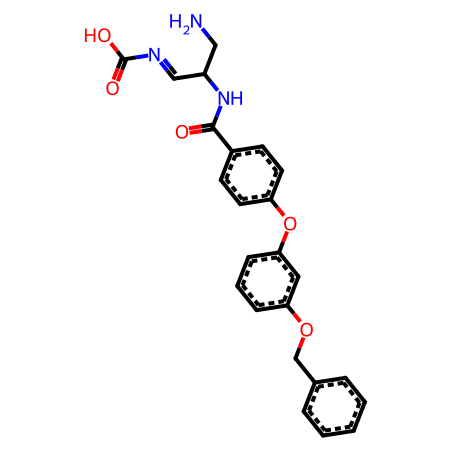 NCC(C=NC(=O)O)NC(=O)c1ccc(Oc2cccc(OCc3ccccc3)c2)cc1